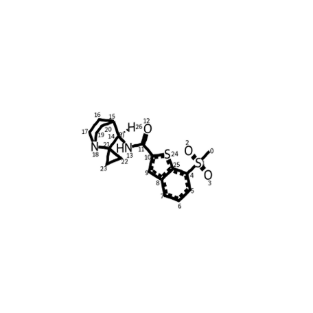 CS(=O)(=O)c1cccc2cc(C(=O)N[C@@H]3C4CCN(CC4)C34CC4)sc12